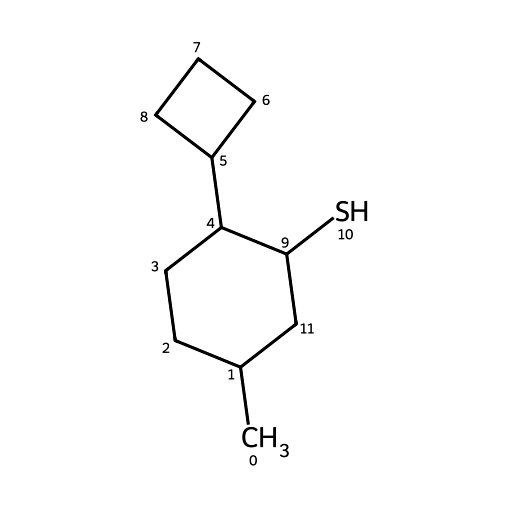 CC1CCC(C2CCC2)C(S)C1